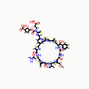 CNC(=O)C[C@@H]1NC(=O)c2csc(n2)-c2ccc(-c3nc(N(CCC(=O)O)C(=O)O[C@H]4CC[C@H](C(=O)O)C4)cs3)nc2-c2csc(n2)-c2csc(n2)[C@H]([C@@H](O)c2ccccc2)NC(=O)CNC(=O)c2nc(sc2COC)C(C(C)C)NC(=O)c2nc1sc2C